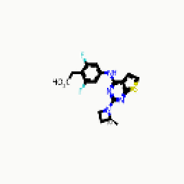 C[C@H]1CCN1c1nc(Nc2cc(F)c(CC(=O)O)c(F)c2)c2ccsc2n1